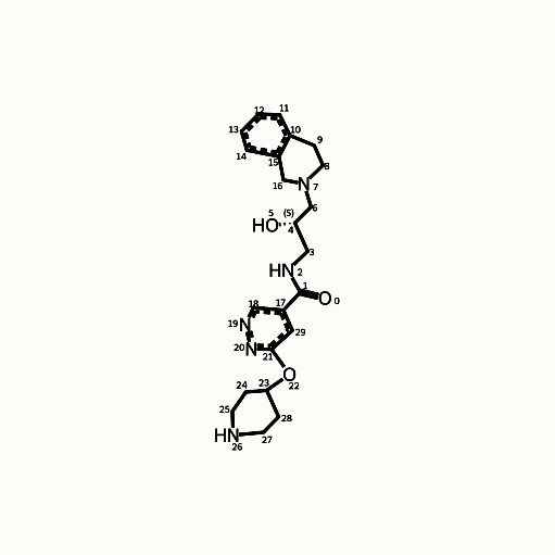 O=C(NC[C@H](O)CN1CCc2ccccc2C1)c1cnnc(OC2CCNCC2)c1